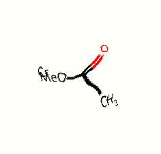 COC(C)=O.[Cr]